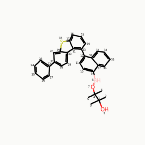 CC(C)(O)C(C)(C)OBc1ccc(-c2cccc3sc4cc(-c5ccccc5)ccc4c23)c2ccccc12